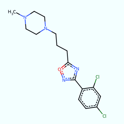 CN1CCN(CCCc2nc(-c3ccc(Cl)cc3Cl)no2)CC1